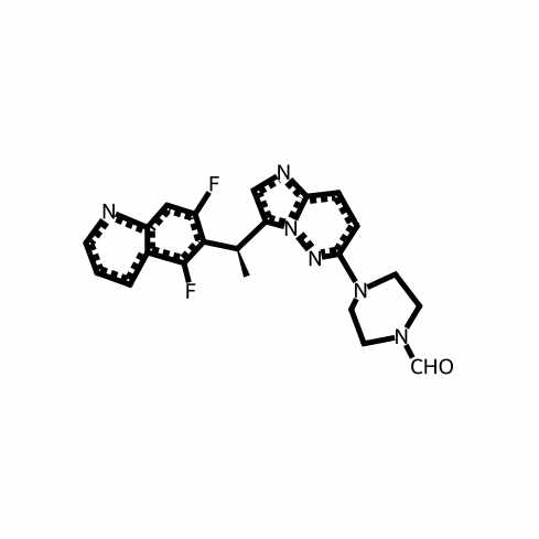 C[C@@H](c1c(F)cc2ncccc2c1F)c1cnc2ccc(N3CCN(C=O)CC3)nn12